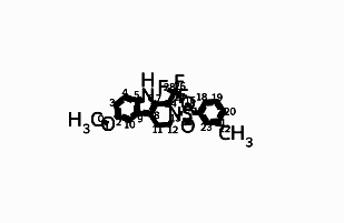 COc1ccc2[nH]c3c(c2c1)CCN(S(=O)(=O)c1cccc(C)c1)C3C(F)(F)F